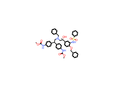 COC(=O)Nc1ccc(C(CN(Cc2ccccc2)C[C@H](O)c2ccc(OCc3ccccc3)c(NS(=O)(=O)c3ccccc3)c2)c2ccc(NC(=O)OC)cc2)cc1